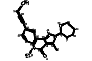 CCn1c(=O)c2c(C)n(C3CCCCO3)nc2c2cc(C#CCO)ccc21